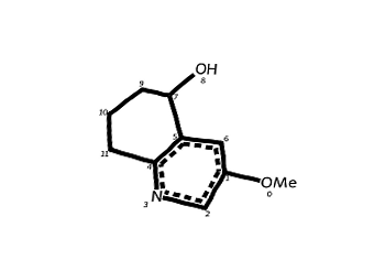 COc1cnc2c(c1)C(O)CCC2